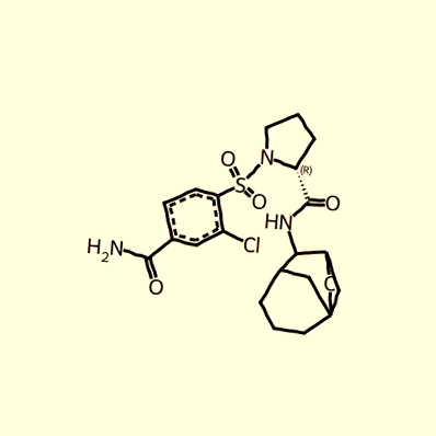 NC(=O)c1ccc(S(=O)(=O)N2CCC[C@@H]2C(=O)NC2C3CCCC4(C3)CC2C4)c(Cl)c1